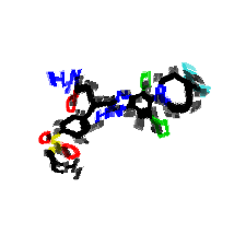 CCS(=O)(=O)c1ccc([C@@H](CC(N)=O)c2nc3c(Cl)c(N4CCC(F)(F)CC4)c(Cl)cc3[nH]2)cc1